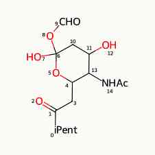 CCCC(C)C(=O)CC1OC(O)(OC=O)CC(O)C1NC(C)=O